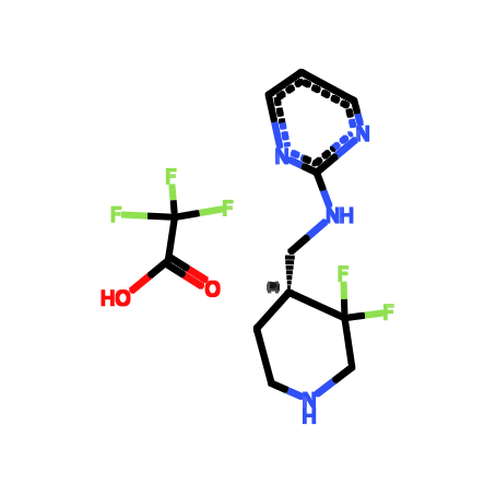 FC1(F)CNCC[C@@H]1CNc1ncccn1.O=C(O)C(F)(F)F